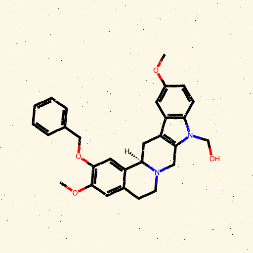 COc1ccc2c(c1)c1c(n2CO)CN2CCc3cc(OC)c(OCc4ccccc4)cc3[C@H]2C1